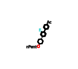 CCCCCO[C@H]1CC[C@H](c2ccc(-c3ccc(C(C)=O)cc3)c(F)c2)CC1